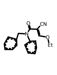 CCOC=C(C#N)C(=O)N(Cc1ccccc1)c1ccccc1